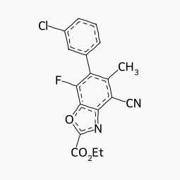 CCOC(=O)c1nc2c(C#N)c(C)c(-c3cccc(Cl)c3)c(F)c2o1